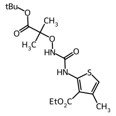 CCOC(=O)c1c(C)csc1NC(=O)NOC(C)(C)C(=O)OC(C)(C)C